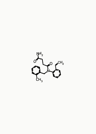 C=Cc1ccccc1N(Cc1ccccc1C)C(=O)CCC(N)=O